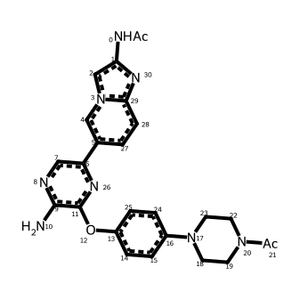 CC(=O)Nc1cn2cc(-c3cnc(N)c(Oc4ccc(N5CCN(C(C)=O)CC5)cc4)n3)ccc2n1